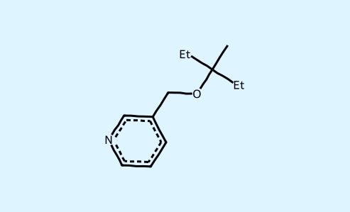 CCC(C)(CC)OCc1cccnc1